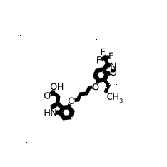 CCCc1c(OCCCCOc2cccc3[nH]cc(CC(=O)O)c23)ccc2c(C(F)(F)F)noc12